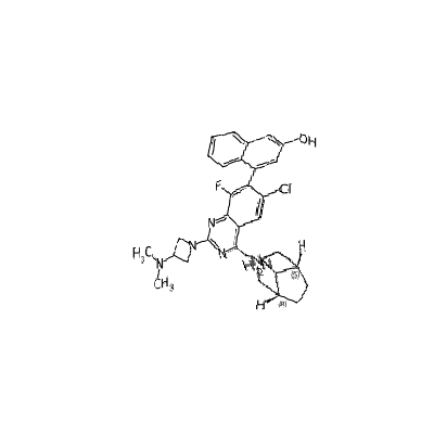 CN(C)C1CN(c2nc(N3C[C@H]4CC[C@@H](C3)C4N)c3cc(Cl)c(-c4cc(O)cc5ccccc45)c(F)c3n2)C1